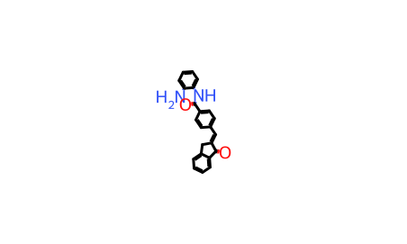 Nc1ccccc1NC(=O)c1ccc(/C=C2\Cc3ccccc3C2=O)cc1